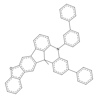 CC12c3cc4c(cc3-c3cccc(c31)N(c1cccc(-c3ccccc3)c1)c1cc(-c3ccccc3)ccc12)oc1ccccc14